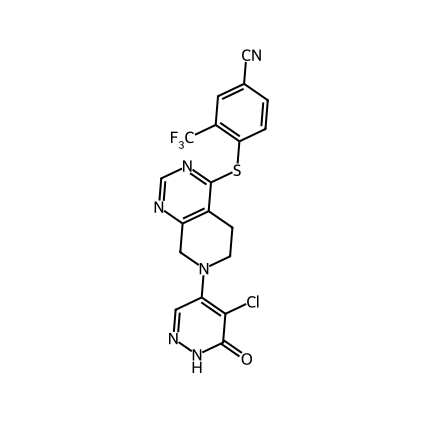 N#Cc1ccc(Sc2ncnc3c2CCN(c2cn[nH]c(=O)c2Cl)C3)c(C(F)(F)F)c1